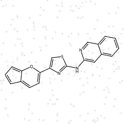 c1cc2ccc(-c3csc(Nc4cc5ccccc5cn4)n3)oc-2c1